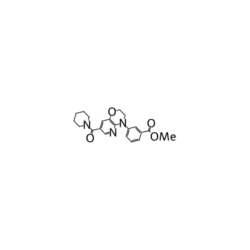 COC(=O)c1cccc(N2CCOc3cc(C(=O)N4CCCCC4)cnc32)c1